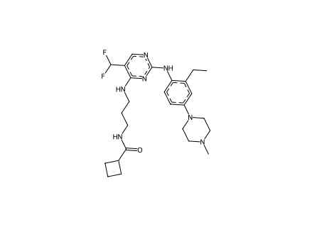 CCc1cc(N2CCN(C)CC2)ccc1Nc1ncc(C(F)F)c(NCCCNC(=O)C2CCC2)n1